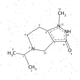 CC(C)N1CCc2c(c(=O)[nH]n2C)C1